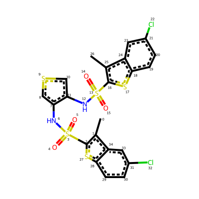 Cc1c(S(=O)(=O)Nc2cscc2NS(=O)(=O)c2sc3ccc(Cl)cc3c2C)sc2ccc(Cl)cc12